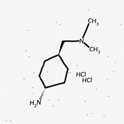 CN(C)C[C@H]1CC[C@H](N)CC1.Cl.Cl